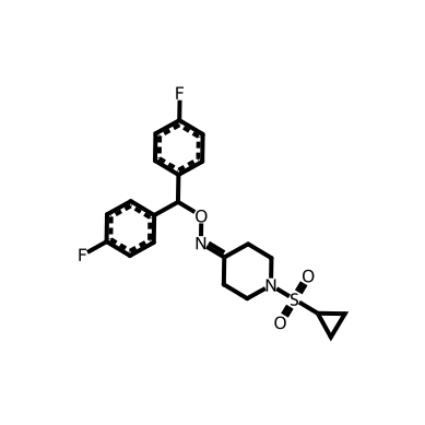 O=S(=O)(C1CC1)N1CCC(=NOC(c2ccc(F)cc2)c2ccc(F)cc2)CC1